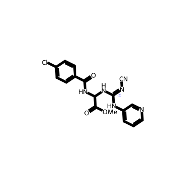 COC(=O)C(NC(=O)c1ccc(Cl)cc1)N/C(=N\C#N)Nc1cccnc1